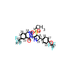 CCS(=O)(=O)c1cc(-c2ccc(OC(F)(F)F)cc2)cnc1-n1ncc2ccc(C(F)(F)F)cc2c1=O